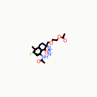 CC(=O)Nc1cc(F)c(C)c2c1C(=O)C(COCCOC(C)=O)(N=[N+]=[N-])CC2